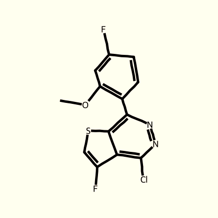 COc1cc(F)ccc1-c1nnc(Cl)c2c(F)csc12